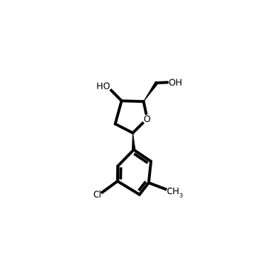 Cc1cc(Cl)cc([C@H]2CC(O)[C@@H](CO)O2)c1